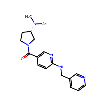 CC(=O)N(C)[C@H]1CCN(C(=O)c2ccc(NCc3cccnc3)nc2)C1